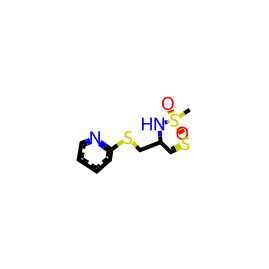 CS(=O)(=O)NC(C=S)CSc1ccccn1